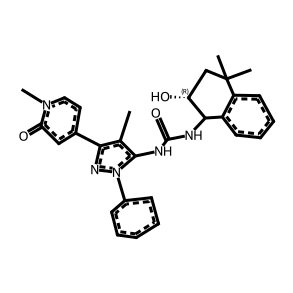 Cc1c(-c2ccn(C)c(=O)c2)nn(-c2ccccc2)c1NC(=O)NC1c2ccccc2C(C)(C)C[C@H]1O